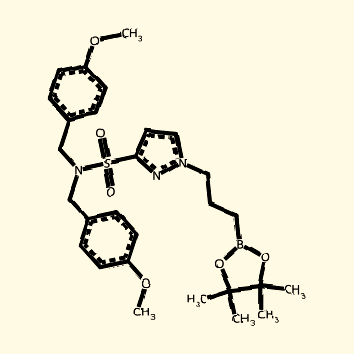 COc1ccc(CN(Cc2ccc(OC)cc2)S(=O)(=O)c2ccn(CCCB3OC(C)(C)C(C)(C)O3)n2)cc1